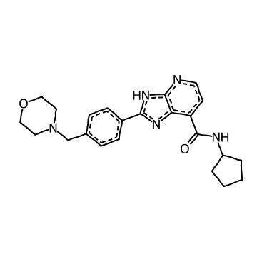 O=C(NC1CCCC1)c1ccnc2[nH]c(-c3ccc(CN4CCOCC4)cc3)nc12